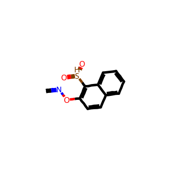 C=NOc1ccc2ccccc2c1[SH](=O)=O